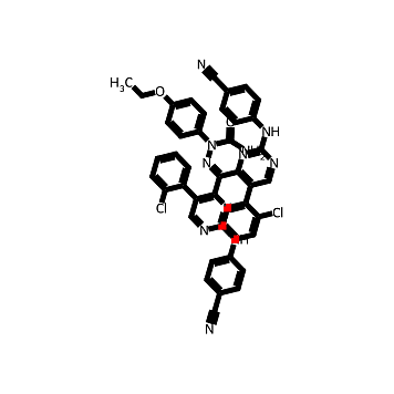 CCOc1ccc(N(N=C(c2nc(Nc3ccc(C#N)cc3)ncc2-c2ccccc2Cl)c2nc(Nc3ccc(C#N)cc3)ncc2-c2ccccc2Cl)C(N)=O)cc1